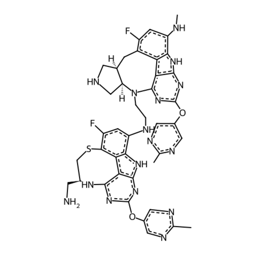 CNc1cc(F)c2c3c1[nH]c1nc(Oc4cnc(C)nc4)nc(c13)N(CCNc1cc(F)c3c4c1[nH]c1nc(Oc5cnc(C)nc5)nc(c14)N[C@@H](CN)CS3)[C@H]1CNC[C@H]1C2